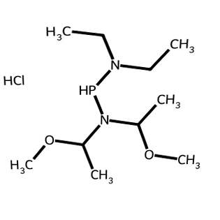 CCN(CC)PN(C(C)OC)C(C)OC.Cl